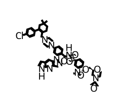 C[N+](=O)c1cc(S(=O)(=O)NC(=O)c2ccc(N3CCN(CC4=C(c5ccc(Cl)cc5)CC(C)(C)CC4)CC3)cc2-n2ncc3nc4[nH]ccc4cc32)ccc1OC[C@@H]1CN(C2COC2)CCO1